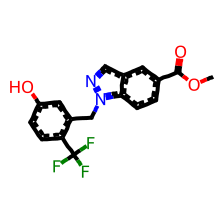 COC(=O)c1ccc2c(cnn2Cc2cc(O)ccc2C(F)(F)F)c1